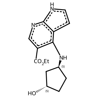 CCOC(=O)c1cnc2[nH]ccc2c1N[C@H]1CC[C@H](O)C1